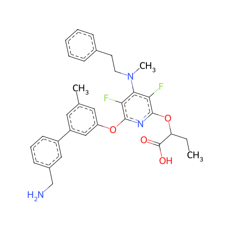 CCC(Oc1nc(Oc2cc(C)cc(-c3cccc(CN)c3)c2)c(F)c(N(C)CCc2ccccc2)c1F)C(=O)O